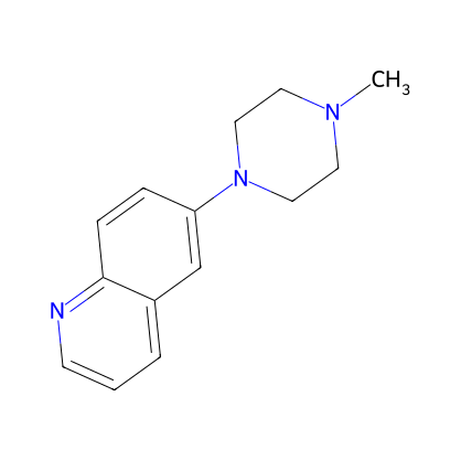 CN1CCN(c2ccc3ncccc3c2)CC1